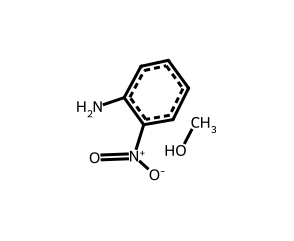 CO.Nc1ccccc1[N+](=O)[O-]